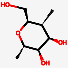 C[C@@H]1[C@@H](O)[C@@H](O)[C@H](C)O[C@H]1CO